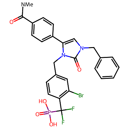 CNC(=O)c1ccc(-c2cn(Cc3ccccc3)c(=O)n2Cc2ccc(C(F)(F)P(=O)(O)O)c(Br)c2)cc1